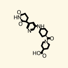 O=C1CCC(c2cncc(N[C@H]3CC[C@H](C(=O)N4CCC(C(=O)O)CC4)CC3)c2)C(=O)N1